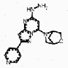 NNc1cc(N2CC3CC2CO3)n2nc(-c3ccncc3)cc2n1